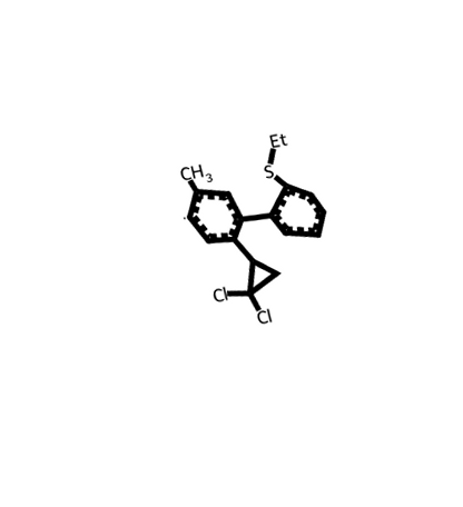 CCSc1ccccc1-c1cc(C)[c]cc1C1CC1(Cl)Cl